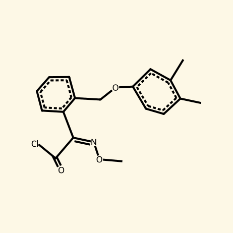 CON=C(C(=O)Cl)c1ccccc1COc1ccc(C)c(C)c1